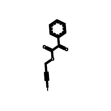 O=C(OCC#CI)C(=O)c1ccccc1